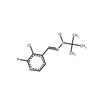 CC(C)(C)[S+]([O-])N=Cc1ccnc(F)c1Cl